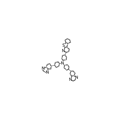 c1ccc2c(c1)sc1nc(-c3ccc(N(c4ccc(-c5ccc6nccnc6c5)cc4)c4ccc(-c5ccc6nccnc6c5)cc4)cc3)ccc12